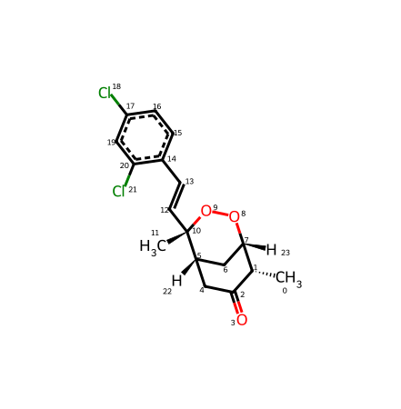 C[C@@H]1C(=O)C[C@H]2C[C@@H]1OO[C@@]2(C)C=Cc1ccc(Cl)cc1Cl